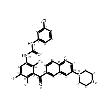 O=C(Nc1cccc(Cl)c1)Nc1cc(F)c(F)c(C(=O)c2ccc3ncc(N4CCOCC4)cc3c2)c1F